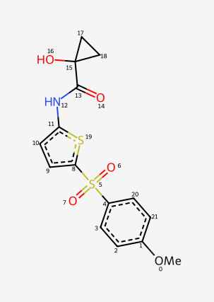 COc1ccc(S(=O)(=O)c2ccc(NC(=O)C3(O)CC3)s2)cc1